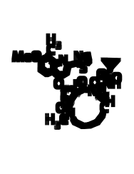 COc1ccc2c(O[C@@H]3C[C@H]4C(=O)N[C@]5(C(=O)NS(=O)(=O)C6CC6)C[C@H]5CCCCCCN(C)C(=O)[C@@H]4C3)cc(-c3nccs3)nc2c1C